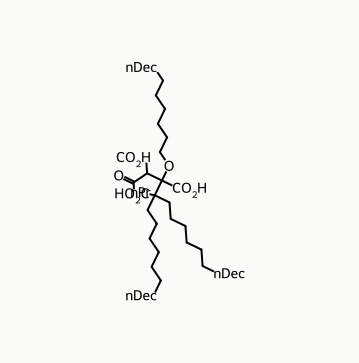 CCCCCCCCCCCCCCCCOC(C(=O)O)(C(C(=O)O)C(=O)CCC)C(CCCCCCCCCCCCCCCC)(CCCCCCCCCCCCCCCC)C(=O)O